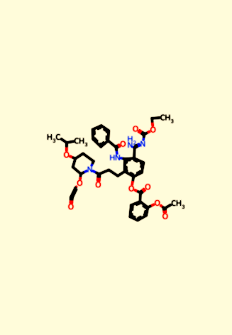 CCOC(=O)N=C(N)c1ccc(OC(=O)c2ccccc2OC(C)=O)c(CCC(=O)N2CCC(OC(C)C)CC2OC=C=O)c1NC(=O)c1ccccc1